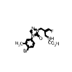 Cc1cc(-n2cnn(CC(=CF)CNC(=O)O)c2=O)ccc1Br